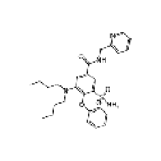 CCCCN(CCCC)c1cc(C(=O)NCc2ccccn2)cc(S(N)(=O)=O)c1Oc1ccccc1